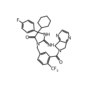 N=C1NC(c2ccc(F)cc2)(C2CCCCC2)C(=O)N1Cc1ccc(C(F)(F)F)c(C(=O)N2Cc3nccnc3C2)c1